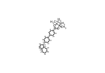 CC1(C)OB(c2ccc(-c3ccc(-c4csc5ccccc45)cc3)cc2)OC1(C)C